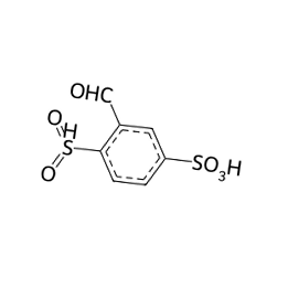 O=Cc1cc(S(=O)(=O)O)ccc1[SH](=O)=O